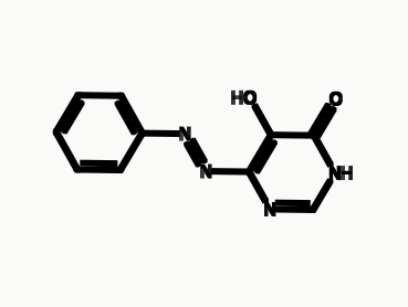 O=c1[nH]cnc(N=Nc2ccccc2)c1O